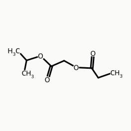 CCC(=O)OCC(=O)OC(C)C